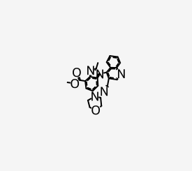 COC(=O)c1cc(N2CCOCC2)cc2c1nc(C)n2-c1c(C#N)cnc2ccccc12